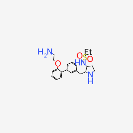 CCS(=O)(=O)NC1CCNC1Cc1cccc(-c2ccccc2OCCN)c1